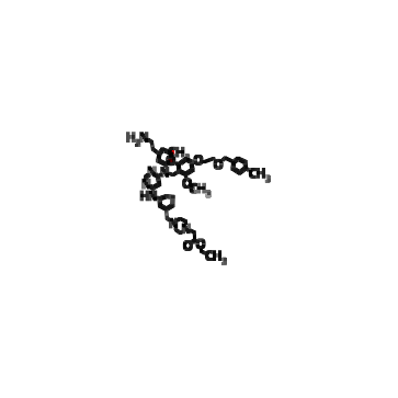 CCOC(=O)CN1CCN(Cc2cccc(Nc3cc(N(Cc4c(OC)cc(OCCOCc5ccc(C)cc5)cc4OC)c4cccc(CCN)c4)ncn3)c2)CC1